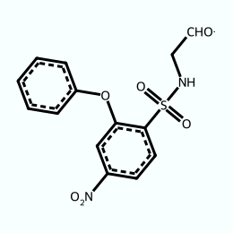 O=[C]CNS(=O)(=O)c1ccc([N+](=O)[O-])cc1Oc1ccccc1